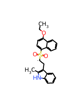 CCOc1ccc(S(=O)(=O)[CH]Cc2c(C)[nH]c3ccccc23)c2ccccc12